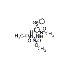 CCOC(=O)/N=C(/NC(=O)OCC)Nc1ccc([S+]([O-])c2ccccc2)cc1NC(C)=O